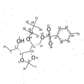 CCC(O)[C@H]1OC(C)(C)O[C@H]1[C@@H](COS(=O)(=O)c1ccc(C)cc1)O[Si](C)(C)C(C)(C)C